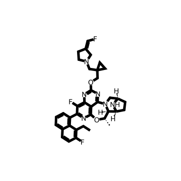 CCc1c(F)ccc2cccc(-c3nc4c5c(nc(OCC6(CN7CCC(=CF)C7)CC6)nc5c3F)N3C[C@H]5CC[C@H](N5)[C@H]3[C@H](C)O4)c12